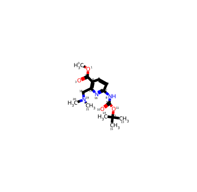 COC(=O)c1ccc(NC(=O)OC(C)(C)C)nc1CN(C)C